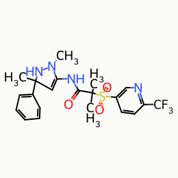 CN1NC(C)(c2ccccc2)C=C1NC(=O)C(C)(C)S(=O)(=O)c1ccc(C(F)(F)F)nc1